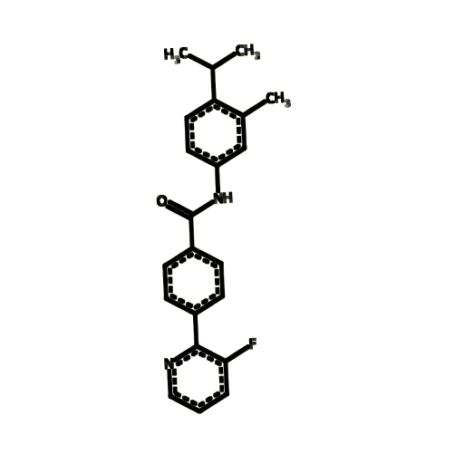 Cc1cc(NC(=O)c2ccc(-c3ncccc3F)cc2)ccc1C(C)C